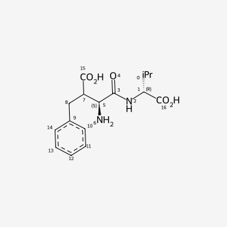 CC(C)[C@@H](NC(=O)[C@@H](N)C(Cc1ccccc1)C(=O)O)C(=O)O